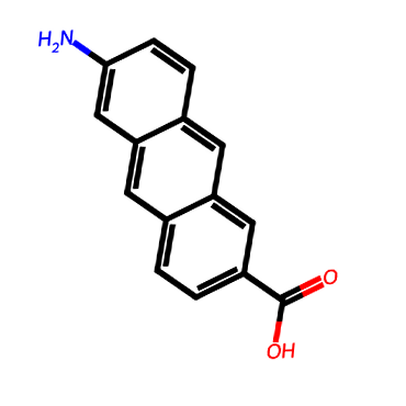 Nc1ccc2cc3cc(C(=O)O)ccc3cc2c1